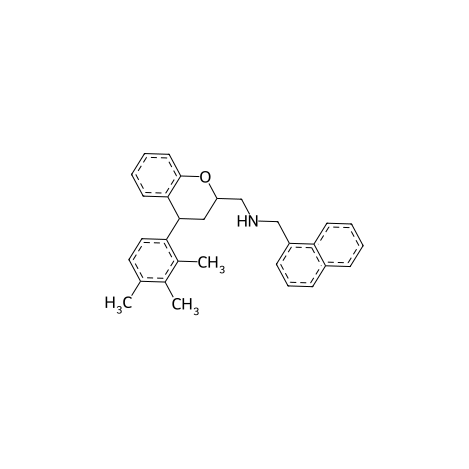 Cc1ccc(C2CC(CNCc3cccc4ccccc34)Oc3ccccc32)c(C)c1C